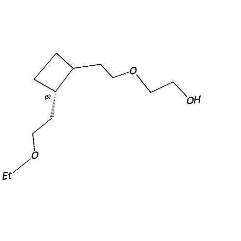 CCOCC[C@@H]1CCC1CCOCCO